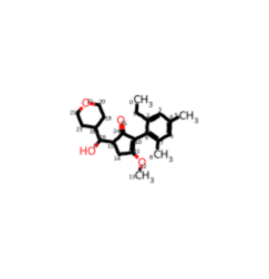 CCc1cc(C)cc(C)c1C1=C(OC)CC(C(O)C2CCOCC2)C1=O